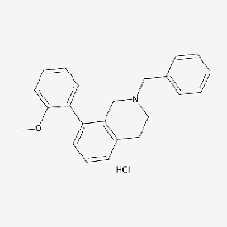 COc1ccccc1-c1cccc2c1CN(Cc1ccccc1)CC2.Cl